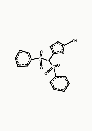 N#Cc1ccc(N(S(=O)(=O)c2ccccc2)S(=O)(=O)c2ccccc2)s1